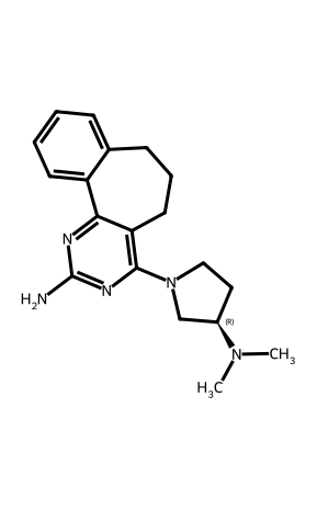 CN(C)[C@@H]1CCN(c2nc(N)nc3c2CCCc2ccccc2-3)C1